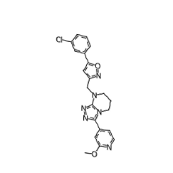 COc1cc(-c2nnc3n2CCCN3Cc2cc(-c3cccc(Cl)c3)on2)ccn1